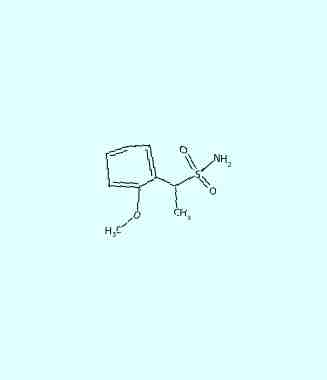 COc1ccccc1C(C)S(N)(=O)=O